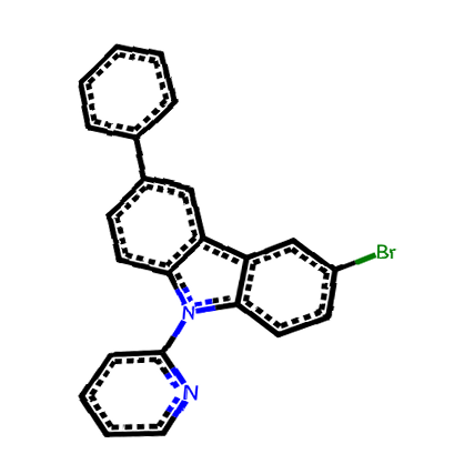 Brc1ccc2c(c1)c1cc(-c3ccccc3)ccc1n2-c1ccccn1